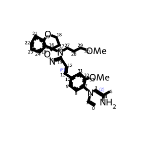 C=CN(/C=C(/C)N)c1ccc(/C=C/C2=NOC3(CCOc4ccccc43)N2CCCOC)cc1OC